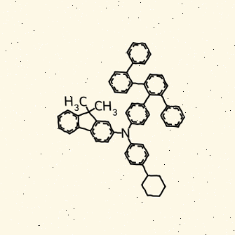 CC1(C)c2ccccc2-c2ccc(N(c3ccc(-c4c(-c5ccccc5)cccc4-c4ccccc4-c4ccccc4)cc3)c3ccc(C4CCCCC4)cc3)cc21